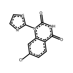 O=c1[nH]c(=O)n(-c2nccs2)c2cc(Cl)ccc12